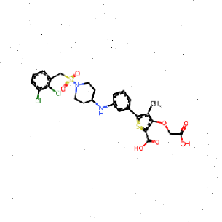 Cc1c(-c2cccc(NC3CCN(S(=O)(=O)Cc4cccc(Cl)c4Cl)CC3)c2)sc(C(=O)O)c1OCC(=O)O